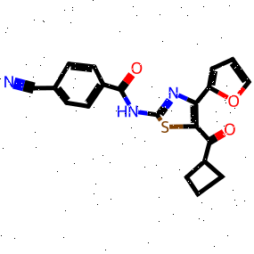 N#Cc1ccc(C(=O)Nc2nc(-c3ccco3)c(C(=O)C3CCC3)s2)cc1